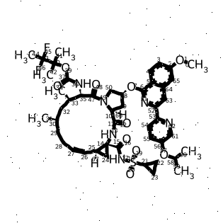 COc1ccc2c(O[C@@H]3C[C@H]4C(=O)N[C@]5(C(=O)NS(=O)(=O)C6CC6)C[C@H]5/C=C\CC[C@@H](C)C[C@@H](C)[C@H](NC(=O)OC(C)(C)C(C)(F)F)C(=O)N4C3)nc(-c3ccc(OC(C)C)cn3)cc2c1